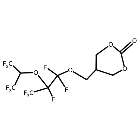 O=C1OCC(COC(F)(F)C(F)(OC(C(F)(F)F)C(F)(F)F)C(F)(F)F)CO1